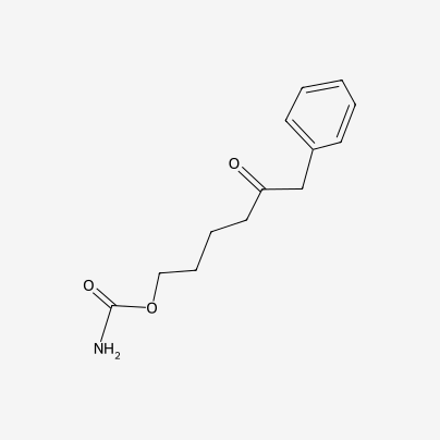 NC(=O)OCCCCC(=O)Cc1ccccc1